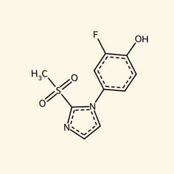 CS(=O)(=O)c1nccn1-c1ccc(O)c(F)c1